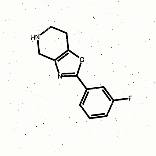 Fc1cccc(-c2nc3c(o2)CCNC3)c1